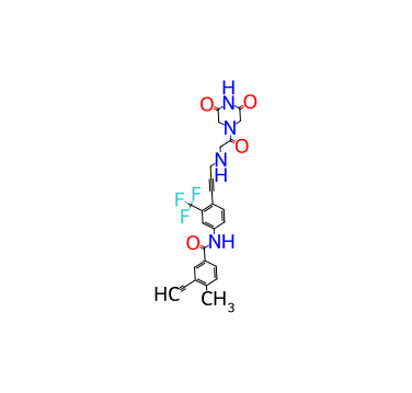 C#Cc1cc(C(=O)Nc2ccc(C#CCNCC(=O)N3CC(=O)NC(=O)C3)c(C(F)(F)F)c2)ccc1C